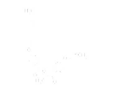 C=CCOc1ccc(C(=O)C(C)OC(=O)c2ccc(OCCCCCCCC)cc2)cc1